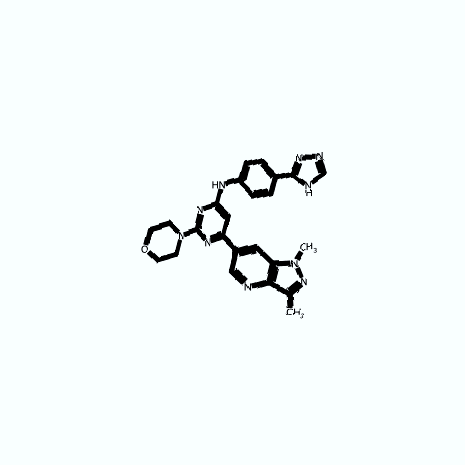 Cc1nn(C)c2cc(-c3cc(Nc4ccc(-c5nnc[nH]5)cc4)nc(N4CCOCC4)n3)cnc12